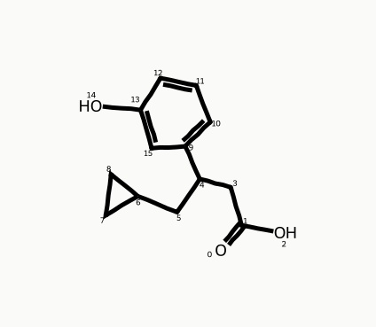 O=C(O)CC(CC1CC1)c1cccc(O)c1